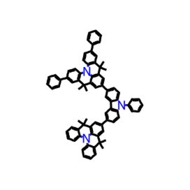 CC1(C)c2ccccc2N2c3ccccc3C(C)(C)c3cc(-c4ccc5c(c4)c4cc(-c6cc7c8c(c6)C(C)(C)c6cc(-c9ccccc9)ccc6N8c6ccc(-c8ccccc8)cc6C7(C)C)ccc4n5-c4ccccc4)cc1c32